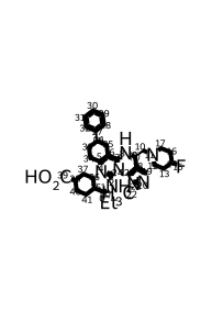 CC[C@@H](Nc1nc2c(c(N[C@@H](CN3CCC(F)CC3)c3cnn(C)c3)n1)C[C@H](c1ccccc1)CC2)C1CCC(C(=O)O)CC1